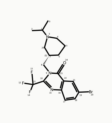 CC(C)N1CCC[C@H](Cn2c(C(F)(F)F)nc3ccc(Br)cc3c2=O)C1